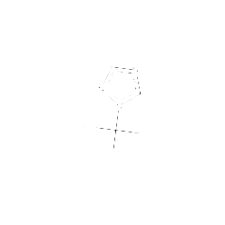 CCC(C)(O)n1cncn1